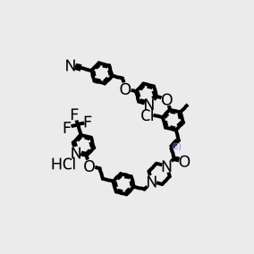 Cc1cc(/C=C/C(=O)N2CCN(Cc3ccc(CCOc4ccc(C(F)(F)F)cn4)cc3)CC2)cc(Cl)c1Oc1ccc(OCc2ccc(C#N)cc2)cn1.Cl